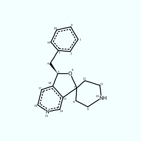 c1ccc(C[C@H]2OC3(CCNCC3)c3cnccc32)cc1